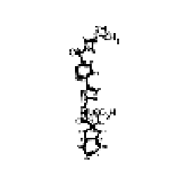 CN(C)C1CN(C(=O)c2ccc(-c3csc(CNC(=O)C4(CC(=O)O)Cc5ccccc5C4)n3)cc2)C1